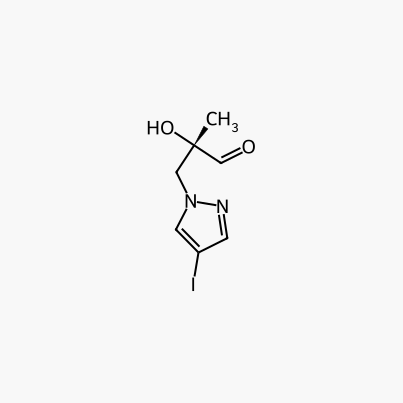 C[C@@](O)(C=O)Cn1cc(I)cn1